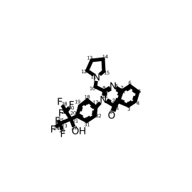 O=c1c2ccccc2nc(CN2CCCC2)n1-c1ccc(C(O)(C(F)(F)F)C(F)(F)F)cc1